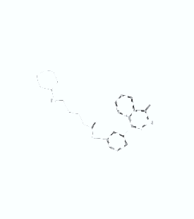 O=C(CCCCNC1CCOCC1)Nc1cccc(-c2n[nH]c(=O)c3ccccc23)c1